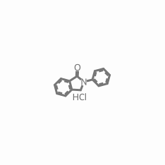 Cl.O=C1c2ccccc2CN1c1ccccc1